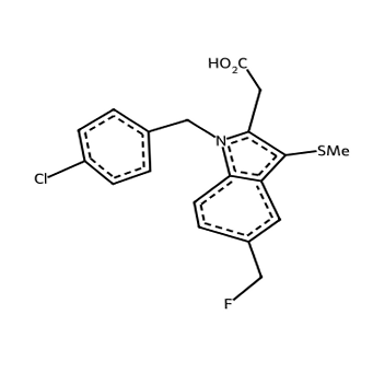 CSc1c(CC(=O)O)n(Cc2ccc(Cl)cc2)c2ccc(CF)cc12